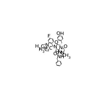 CCN(CC)c1cc(F)ccc1[C@H](C)N1C[C@H]2N(C(=O)CN(C)N2C(=O)NCc2ccccc2)[C@@H](Cc2ccc(O)cc2)C1=O